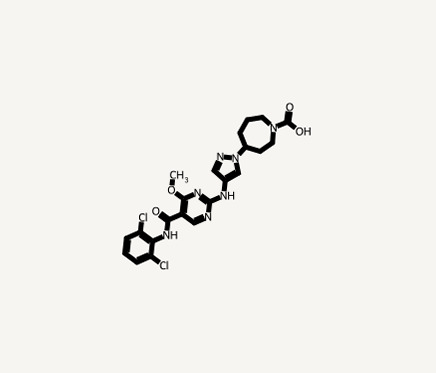 COc1nc(Nc2cnn(C3CCCN(C(=O)O)CC3)c2)ncc1C(=O)Nc1c(Cl)cccc1Cl